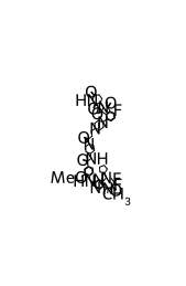 COc1cc(C(=O)NC2CCN(C(=O)CCN3CCN(c4ccc(F)c5c4C(=O)N(C4CCC(=O)NC4=O)C5=O)CC3)CC2)ccc1Nc1ncc2c(n1)N(C1CCCC1)CC(F)(F)C(=O)N2C